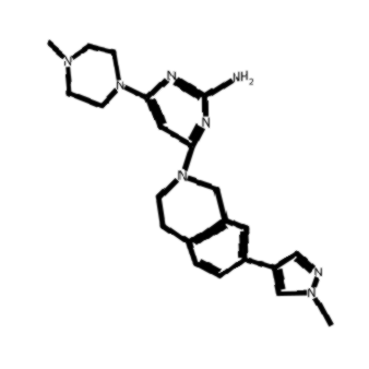 CN1CCN(c2cc(N3CCc4ccc(-c5cnn(C)c5)cc4C3)nc(N)n2)CC1